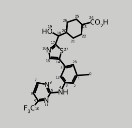 Cc1cc(Nc2nccc(C(F)(F)F)n2)cc(-c2cnc(C(O)C3CCC(C(=O)O)CC3)s2)c1